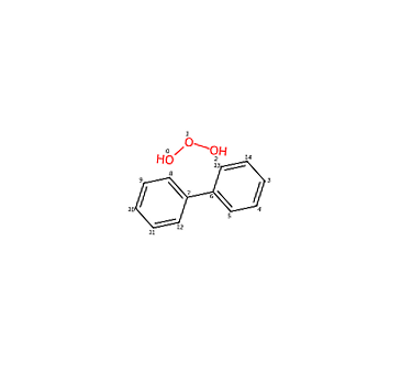 OOO.c1ccc(-c2ccccc2)cc1